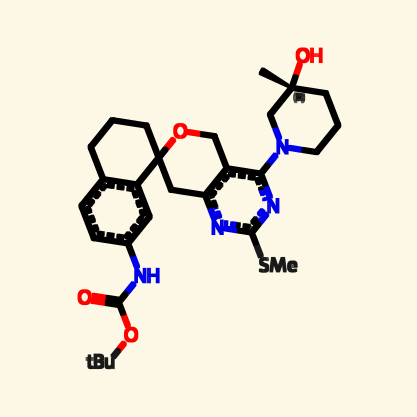 CSc1nc2c(c(N3CCC[C@@](C)(O)C3)n1)COC1(CCCc3ccc(NC(=O)OC(C)(C)C)cc31)C2